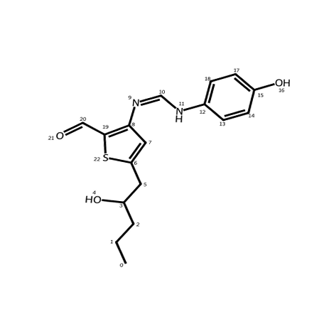 CCCC(O)Cc1cc(/N=C\Nc2ccc(O)cc2)c(C=O)s1